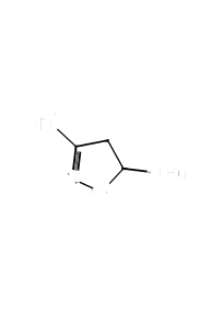 CC(C)COC1CC(C(C)C)=NO1